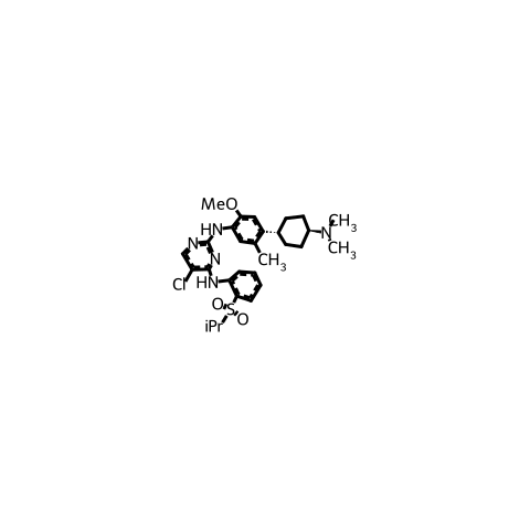 COc1cc([C@H]2CC[C@H](N(C)C)CC2)c(C)cc1Nc1ncc(Cl)c(Nc2ccccc2S(=O)(=O)C(C)C)n1